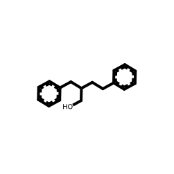 OCC(CCc1ccccc1)Cc1ccccc1